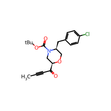 CC#CC(=O)[C@H]1CN(C(=O)OC(C)(C)C)[C@@H](Cc2ccc(Cl)cc2)CO1